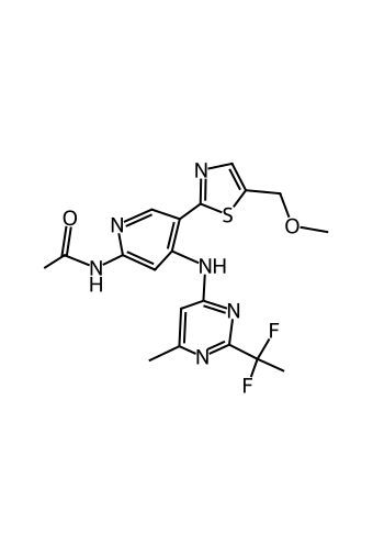 COCc1cnc(-c2cnc(NC(C)=O)cc2Nc2cc(C)nc(C(C)(F)F)n2)s1